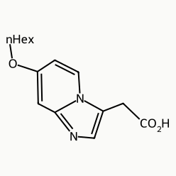 CCCCCCOc1ccn2c(CC(=O)O)cnc2c1